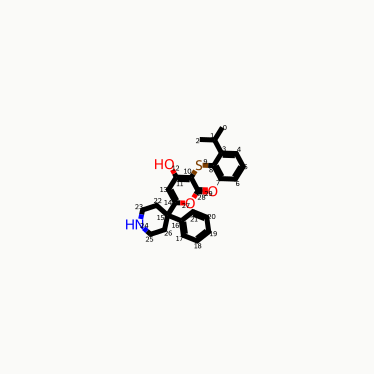 CC(C)c1ccccc1Sc1c(O)cc(C2(c3ccccc3)CCNCC2)oc1=O